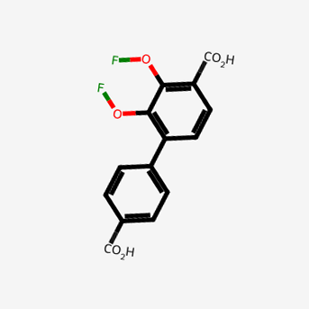 O=C(O)c1ccc(-c2ccc(C(=O)O)c(OF)c2OF)cc1